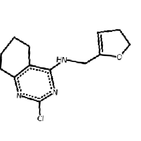 Clc1nc2c(c(NCC3=CCCO3)n1)CCCC2